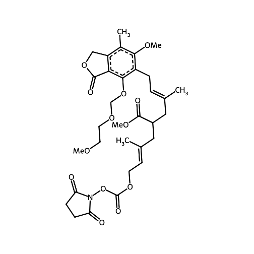 COCCOCOc1c(C/C=C(\C)CC(C/C(C)=C/COC(=O)ON2C(=O)CCC2=O)C(=O)OC)c(OC)c(C)c2c1C(=O)OC2